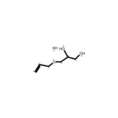 C=CCOCC(O)CO.[KH]